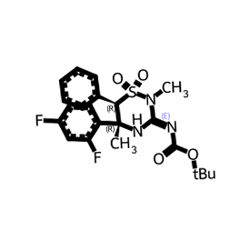 CN1/C(=N/C(=O)OC(C)(C)C)N[C@](C)(c2ccc(F)cc2F)[C@@H](c2ccccc2)S1(=O)=O